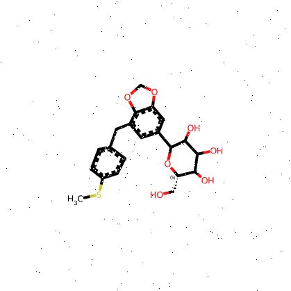 CSc1ccc(Cc2cc(C3O[C@@H](CO)C(O)C(O)C3O)cc3c2OCO3)cc1